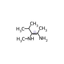 CN/C(=C(/C)N)C(C)C